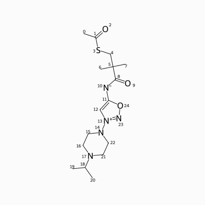 CC(=O)SCC(C)(C)C(=O)[N-]c1c[n+](N2CCN(C(C)C)CC2)no1